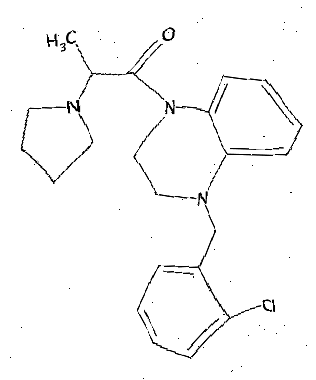 CC(C(=O)N1CCN(Cc2ccccc2Cl)c2ccccc21)N1CCCC1